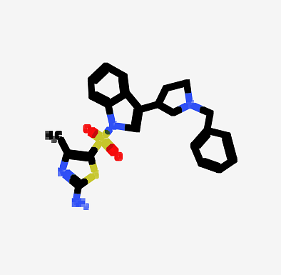 Cc1nc(N)sc1S(=O)(=O)n1cc(C2CCN(Cc3ccccc3)C2)c2ccccc21